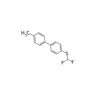 Cc1ccc(-c2ccc(SC(F)F)cc2)cc1